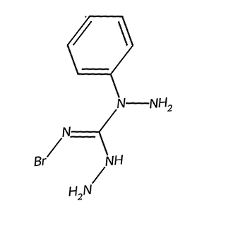 NNC(=NBr)N(N)c1cc[c]cc1